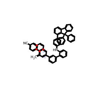 C=C(/C=C(\C=C/Nc1ccc(C#N)cc1)c1cccc(-c2ccccc2Nc2ccc(-c3cccc4c3C(c3ccccc3)(c3ccccc3)c3ccccc3-4)cc2)c1)c1ccccc1